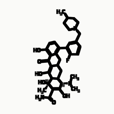 CC1CCN(Cc2ccc(F)c(-c3ccc(O)c4c3CC3CC5C(C(O)=C3C4=O)[C@](C)(O)C(C(N)=O)=C(O)[C@H]5N(C)C)c2)CC1